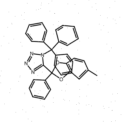 Cc1ccc2c(c1)OC(c1ccccc1)(c1nnnn1C(c1ccccc1)(c1ccccc1)c1ccccc1)O2